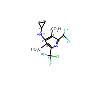 O=C(O)c1c(C(F)F)nc(C(F)(F)Cl)c(C(=O)O)c1NC1CC1